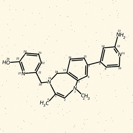 CC1=CN(C)c2cc(-c3ccnc(N)c3)ccc2CN1Cc1cccc(O)n1